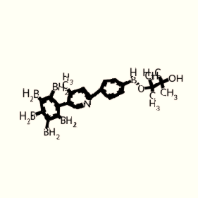 Bc1c(B)c(B)c(-c2cnc(-c3ccc(BOC(C)(C)C(C)(C)O)cc3)cc2C)c(B)c1B